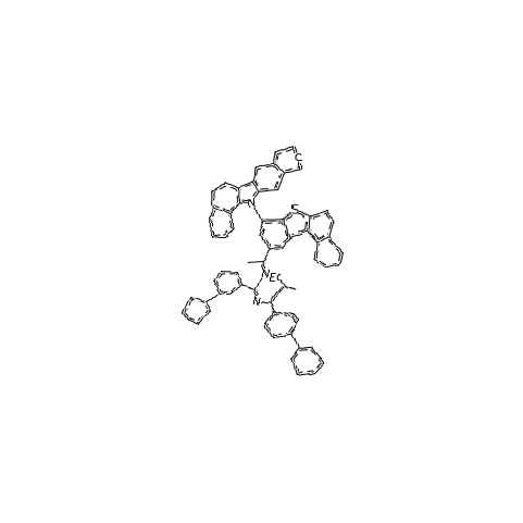 CC\C(C)=C(/N=C(\N=C(/C)c1cc(-n2c3cc4ccccc4cc3c3ccc4ccccc4c32)c2sc3ccc4ccccc4c3c2c1)c1cccc(-c2ccccc2)c1)c1ccc(-c2ccccc2)cc1